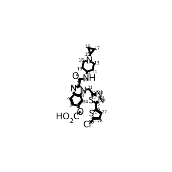 O=C(O)Oc1ccc2nc(C(=O)NC3CCN(C4CC4)CC3)n(Cc3nnc(-c4ccc(Cl)s4)s3)c2c1